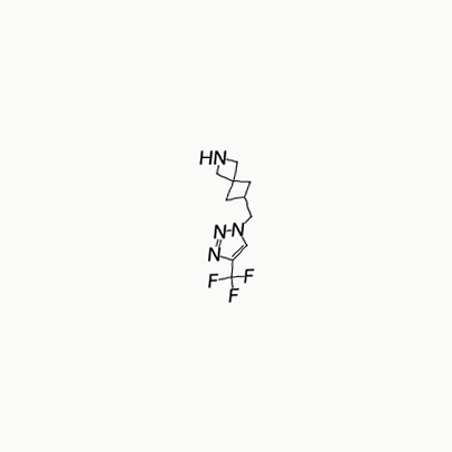 FC(F)(F)c1cn(CC2CC3(CNC3)C2)nn1